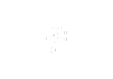 Cc1cc(C(=O)Cl)c(C)c(C)c1OCc1ccccc1